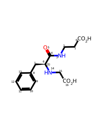 O=C(O)CCNC(=O)[C@H](Cc1ccccc1)NCC(=O)O